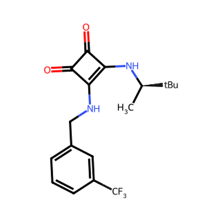 C[C@@H](Nc1c(NCc2cccc(C(F)(F)F)c2)c(=O)c1=O)C(C)(C)C